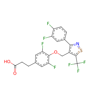 O=C(O)CCc1cc(F)c(OCc2c(-c3ccc(F)c(F)c3)nsc2C(F)(F)F)c(F)c1